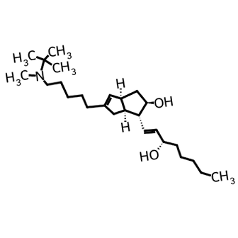 CCCCC[C@H](O)/C=C/[C@@H]1[C@H]2CC(CCCCCN(C)C(C)(C)C)=C[C@H]2C[C@H]1O